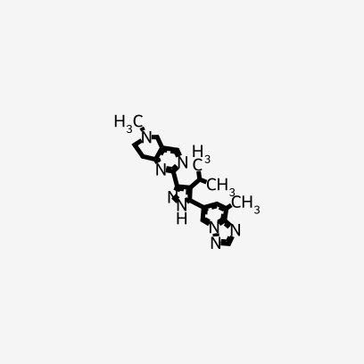 Cc1cc(-c2[nH]nc(-c3ncc4c(n3)CCN(C)C4)c2C(C)C)cn2ncnc12